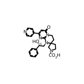 O=C(O)N1CCC2(CCn3c(nc(-c4ccncc4)cc3=O)N2C[C@@H](O)c2ccccc2)C1